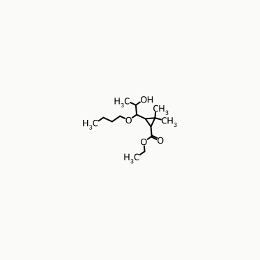 CCCCOC(C(C)O)C1C(C(=O)OCC)C1(C)C